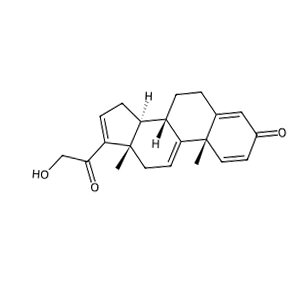 C[C@]12C=CC(=O)C=C1CC[C@@H]1C2=CC[C@]2(C)C(C(=O)CO)=CC[C@@H]12